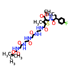 CCC(C(=O)Nc1sc(C(=O)NCCNC(=O)CNC(=O)CNC(=O)CNC(=O)OC(C)(C)C)c(C)c1C(=O)OC)c1ccc(F)cc1